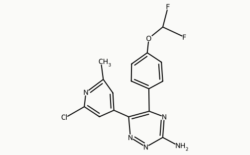 Cc1cc(-c2nnc(N)nc2-c2ccc(OC(F)F)cc2)cc(Cl)n1